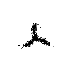 Nc1ccc(S(=O)(=O)CCC(=O)OCCn2c(=O)n(CCOC(=O)CCS(=O)(=O)c3ccc(N)cc3)c(=O)n(CCOC(=O)CCS(=O)(=O)c3ccc(N)cc3)c2=O)cc1